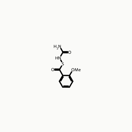 COc1ccccc1C(=O)SNC(N)=O